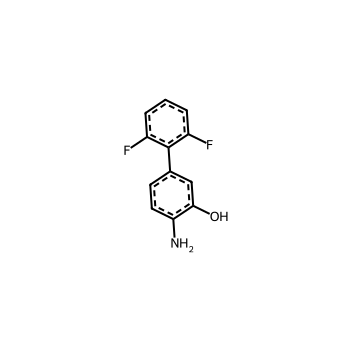 Nc1ccc(-c2c(F)cccc2F)cc1O